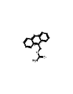 NC(=O)OCc1c2ccccc2cc2ccccc12